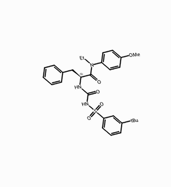 CCN(C(=O)[C@H](Cc1ccccc1)NC(=O)NS(=O)(=O)c1cccc(C(C)(C)C)c1)c1ccc(OC)cc1